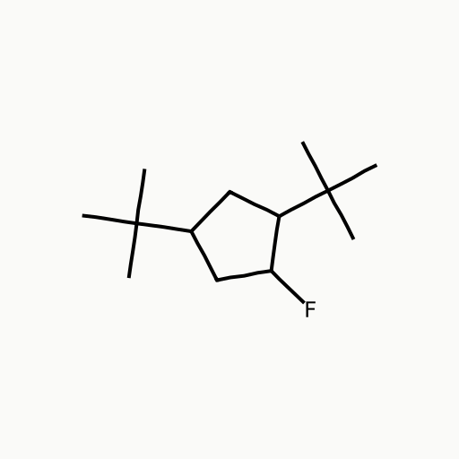 CC(C)(C)C1CC(F)C(C(C)(C)C)C1